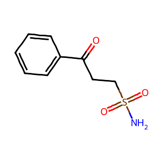 NS(=O)(=O)CCC(=O)c1ccccc1